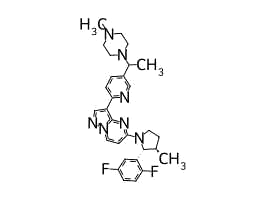 CC(c1ccc(-c2cnn3ccc(N4CC[C@@H](C)[C@@H]4c4cc(F)ccc4F)nc23)nc1)N1CCN(C)CC1